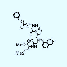 COC(=O)C(CCSC)NC(=O)CN(Cc1cccc2ccccc12)C[C@@H]1CCCN1C(=O)[C@@H](N)CNC(=O)OCc1ccccc1